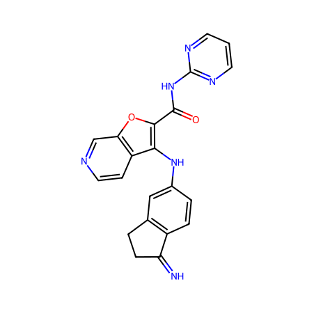 N=C1CCc2cc(Nc3c(C(=O)Nc4ncccn4)oc4cnccc34)ccc21